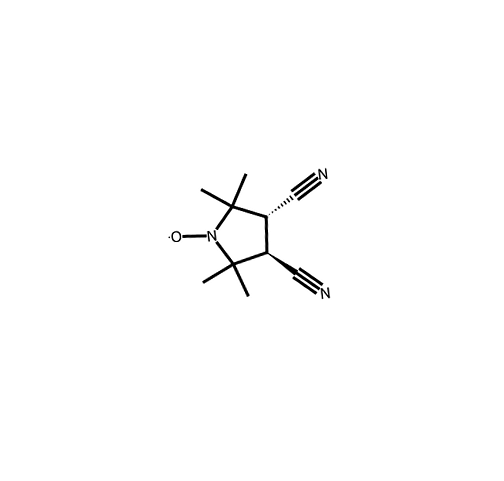 CC1(C)[C@H](C#N)[C@@H](C#N)C(C)(C)N1[O]